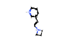 C(=CN1CCC1)c1cccnc1